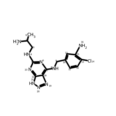 CC(N)CNc1nc(NCc2ccc(Cl)c(N)c2)c2nn[nH]c2n1